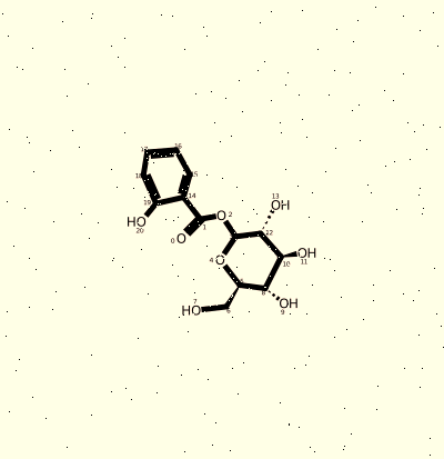 O=C(OC1O[C@H](CO)[C@@H](O)[C@H](O)[C@H]1O)c1ccccc1O